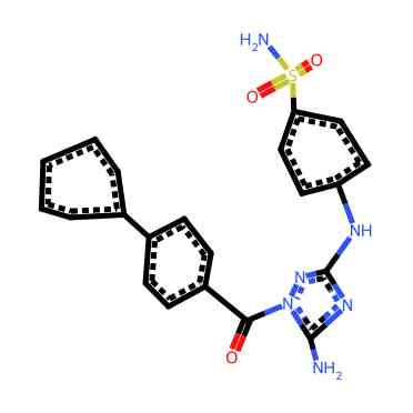 Nc1nc(Nc2ccc(S(N)(=O)=O)cc2)nn1C(=O)c1ccc(-c2ccccc2)cc1